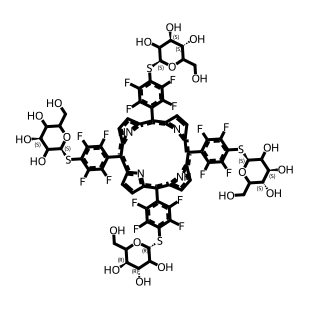 OCC1O[C@@H](Sc2c(F)c(F)c(-c3c4nc(c(-c5c(F)c(F)c(S[C@H]6OC(CO)[C@H](O)[C@@H](O)C6O)c(F)c5F)c5ccc([nH]5)c(-c5c(F)c(F)c(S[C@@H]6OC(CO)[C@@H](O)[C@H](O)C6O)c(F)c5F)c5nc(c(-c6c(F)c(F)c(S[C@@H]7OC(CO)[C@@H](O)[C@H](O)C7O)c(F)c6F)c6ccc3[nH]6)C=C5)C=C4)c(F)c2F)C(O)[C@@H](O)C1O